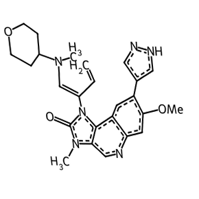 C=C/C(=C\N(C)C1CCOCC1)n1c(=O)n(C)c2cnc3cc(OC)c(-c4cn[nH]c4)cc3c21